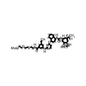 C#Cc1cc(Nc2nccc(Oc3ccc(NC(=O)NC4=CC(C(C)(C)CC)=CC(NSC)=C(OC)C4)c4ccccc34)n2)cc(C(=O)NCCOCCOCCOC)c1